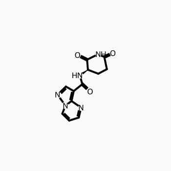 O=C1CC[C@@H](NC(=O)c2cnn3cccnc23)C(=O)N1